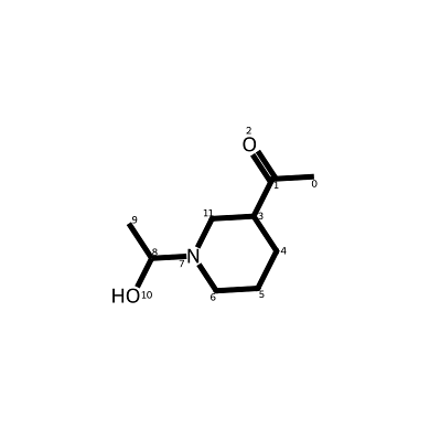 CC(=O)C1CCCN(C(C)O)C1